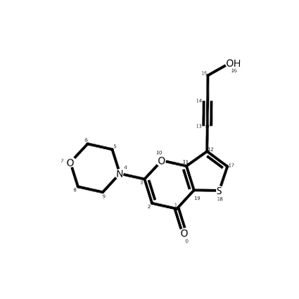 O=c1cc(N2CCOCC2)oc2c(C#CCO)csc12